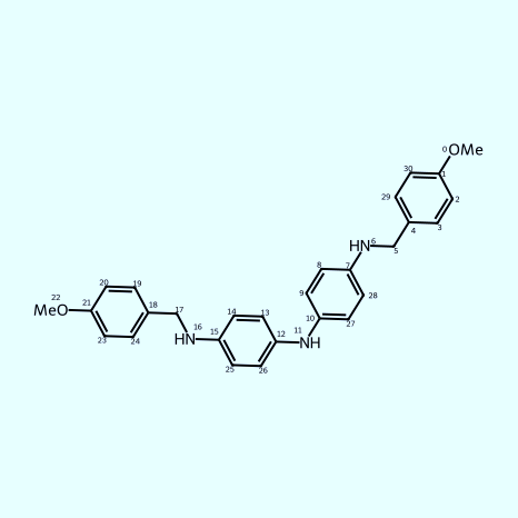 COc1ccc(CNc2ccc(Nc3ccc(NCc4ccc(OC)cc4)cc3)cc2)cc1